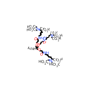 CC(=O)NC(COCCC(=O)NCCCCC(C(=O)O)N(CC(=O)O)CC(=O)O)(COCCC(=O)NCCCCC(C(=O)O)N(CC(=O)O)CC(=O)O)COCCC(=O)NCCCCC(C(=O)O)N(CC(=O)O)CC(=O)O